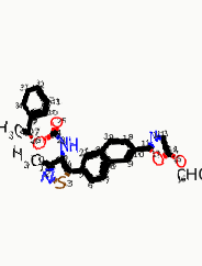 Cc1nsc(-c2ccc3cc(-c4ncc(OC=O)o4)ccc3c2)c1NC(=O)OC(C)c1ccccc1